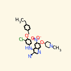 CCc1ccc(COc2ccc(Nc3c(C#N)cnc4cc(OC5CCN(C)CC5)c([N+](=O)[O-])cc34)cc2Cl)cc1